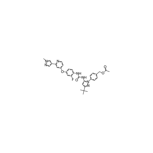 CC(=O)OCc1ccc(-n2nc(C(C)(C)C)cc2NC(=O)Nc2ccc(Oc3ccnc(-c4cnn(C)c4)c3)cc2F)cc1